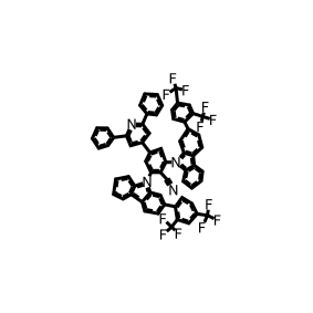 N#Cc1c(-n2c3ccccc3c3ccc(-c4ccc(C(F)(F)F)cc4C(F)(F)F)cc32)cc(-c2cc(-c3ccccc3)nc(-c3ccccc3)c2)cc1-n1c2ccccc2c2ccc(-c3ccc(C(F)(F)F)cc3C(F)(F)F)cc21